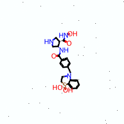 O=C(N[C@@H]1CNC[C@@H]1C(=O)NO)c1ccc(CN2CCS(O)(O)c3ccccc32)cc1